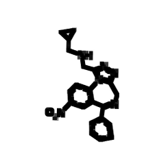 O=[N+]([O-])c1ccc2c(c1)C(c1ccccc1)=NCc1nnc(CNCC3CC3)n1-2